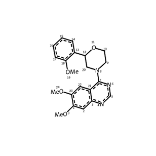 COc1cc2ncnc(N3CCOC(c4ccccc4OC)C3)c2cc1OC